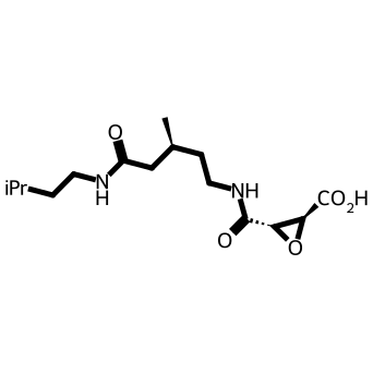 CC(C)CCNC(=O)C[C@@H](C)CCNC(=O)[C@H]1O[C@@H]1C(=O)O